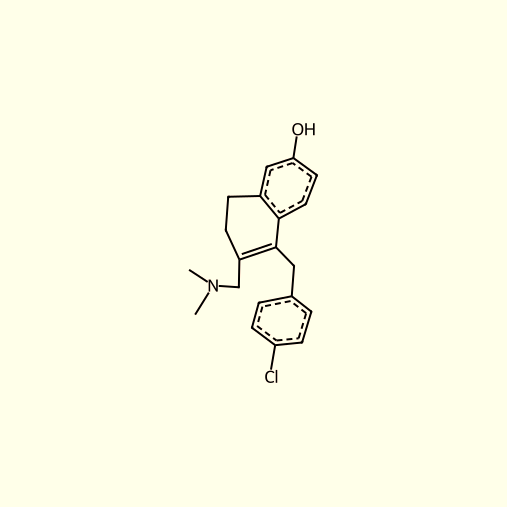 CN(C)CC1=C(Cc2ccc(Cl)cc2)c2ccc(O)cc2CC1